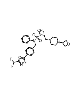 CN(CCN1CCN(C2COC2)CC1)S(=O)(=O)N(Cc1ccc(-c2nnc(C(F)F)o2)cc1)c1ccccc1